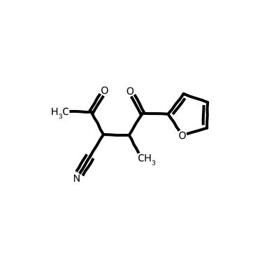 CC(=O)C(C#N)C(C)C(=O)c1ccco1